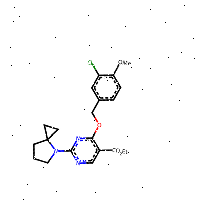 CCOC(=O)c1cnc(N2CCCC23CC3)nc1OCc1ccc(OC)c(Cl)c1